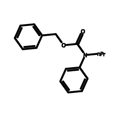 CCCN(C(=O)OCc1ccccc1)c1ccccc1